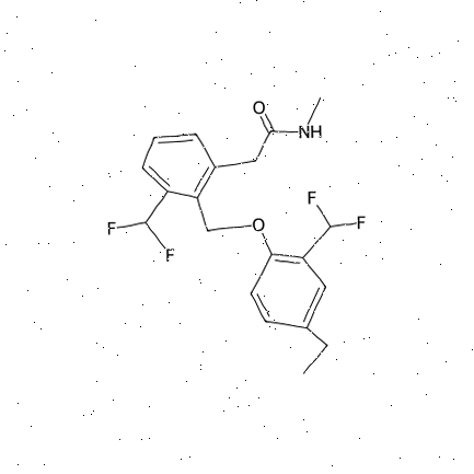 CCc1ccc(OCc2c(CC(=O)NC)cccc2C(F)F)c(C(F)F)c1